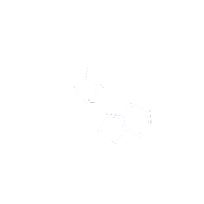 CCOC(=O)c1sc(-c2cnc3ccc(I)cn23)nc1O